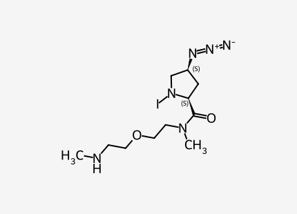 CNCCOCCN(C)C(=O)[C@@H]1C[C@H](N=[N+]=[N-])CN1I